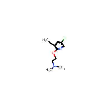 CCc1cc(Cl)cnc1OCCN(C)C